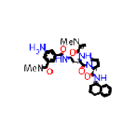 CNC(=O)c1cc(N)cc(C(=O)NCC[C@H](NC(=O)[C@H](C)NC)C(=O)N2CCC[C@H]2C(=O)N[C@@H]2CCCc3ccccc32)c1